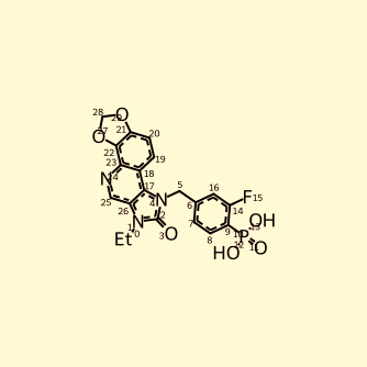 CCn1c(=O)n(Cc2ccc(P(=O)(O)O)c(F)c2)c2c3ccc4c(c3ncc21)OCO4